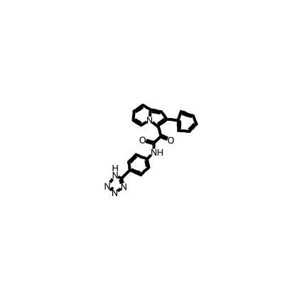 O=C(Nc1ccc(-c2nnn[nH]2)cc1)C(=O)c1c(-c2ccccc2)cc2ccccn12